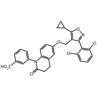 O=C(O)c1cccc(N2C(=O)CCc3cc(OCc4c(-c5c(Cl)cccc5Cl)noc4C4CC4)ccc32)c1